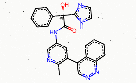 Cc1ncc(NC(=O)[C@@](O)(c2ccccc2)c2ncc[nH]2)cc1-c1cnnc2ccccc12